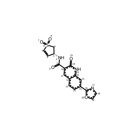 O=C(N[C@@H]1C=CS(=O)(=O)C1)c1cc2ccc(-c3ncco3)cc2[nH]c1=O